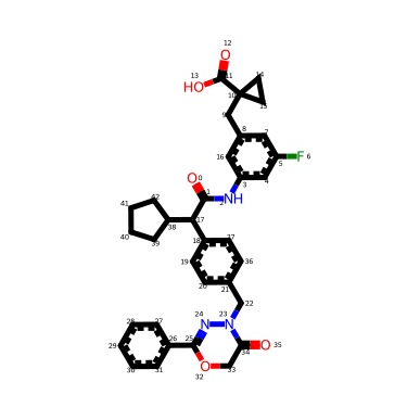 O=C(Nc1cc(F)cc(CC2(C(=O)O)CC2)c1)C(c1ccc(CN2N=C(c3ccccc3)OCC2=O)cc1)C1CCCC1